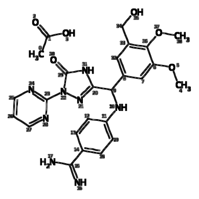 CC(=O)O.COc1cc(C(Nc2ccc(C(=N)N)cc2)c2nn(-c3ncccn3)c(=O)[nH]2)cc(CO)c1OC